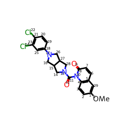 COc1ccc2c(ccc(=O)n2C(=O)N2CC3CN(c4ccc(Cl)c(Cl)c4)CC3C2)c1